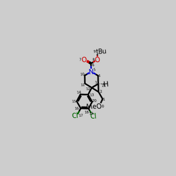 COCC1[C@@H]2CN(C(=O)OC(C)(C)C)CCC12c1ccc(Cl)c(Cl)c1